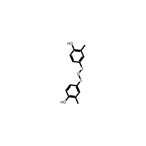 Cc1cc(SOSc2ccc(O)c(C)c2)ccc1O